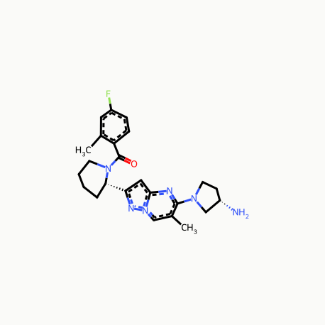 Cc1cc(F)ccc1C(=O)N1CCCC[C@H]1c1cc2nc(N3CC[C@H](N)C3)c(C)cn2n1